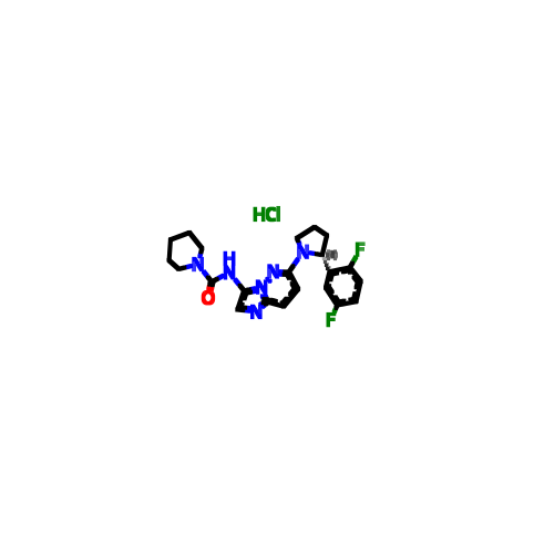 Cl.O=C(Nc1cnc2ccc(N3CCC[C@@H]3c3cc(F)ccc3F)nn12)N1CCCCC1